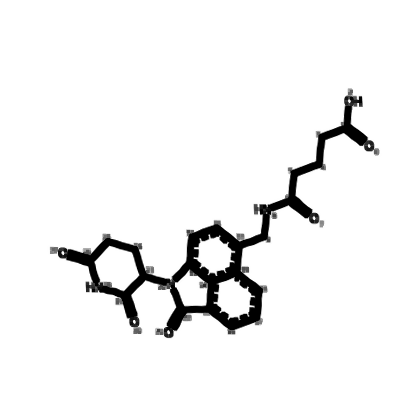 O=C(O)CCCC(=O)NCc1ccc2c3c(cccc13)C(=O)N2C1CCC(=O)NC1=O